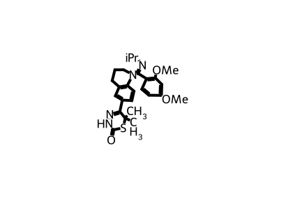 COc1ccc(/C(=N/C(C)C)N2CCCc3cc(C4=NNC(=O)SC4(C)C)ccc32)c(OC)c1